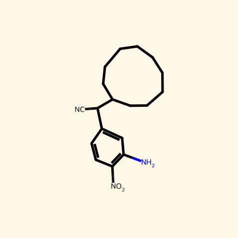 N#CC(c1ccc([N+](=O)[O-])c(N)c1)C1CCCCCCCCC1